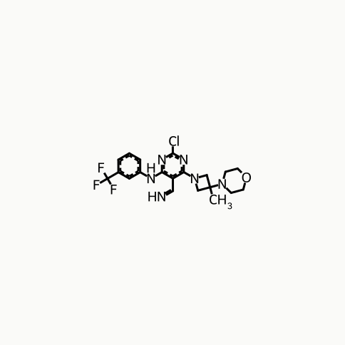 CC1(N2CCOCC2)CN(c2nc(Cl)nc(Nc3cccc(C(F)(F)F)c3)c2C=N)C1